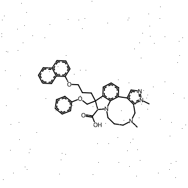 CN1CCCN2c3c(cccc3C(CCCOc3cccc4ccccc34)(COc3ccccc3)C2C(=O)O)-c2cnn(C)c2C1